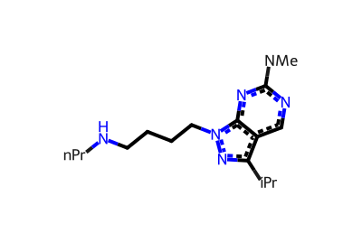 CCCNCCCCn1nc(C(C)C)c2cnc(NC)nc21